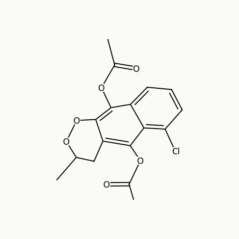 CC(=O)Oc1c2c(c(OC(C)=O)c3c(Cl)cccc13)CC(C)OO2